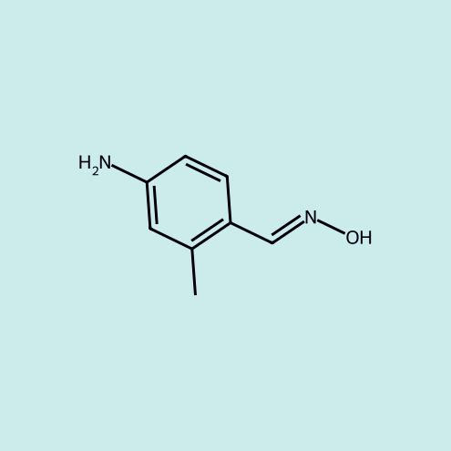 Cc1cc(N)ccc1C=NO